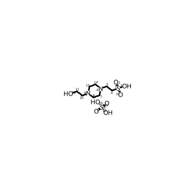 O=S(=O)(O)CCN1CCN(CCO)CC1.O=S(=O)(O)O